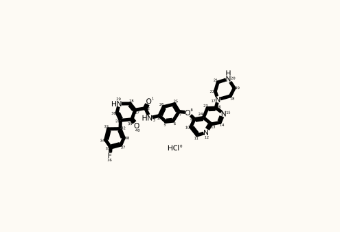 Cl.O=C(Nc1ccc(Oc2ccnc3cnc(N4CCNCC4)cc23)cc1)c1c[nH]cc(-c2ccc(F)cc2)c1=O